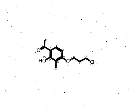 CC(=O)c1ccc(OCCCCl)c(C)c1O